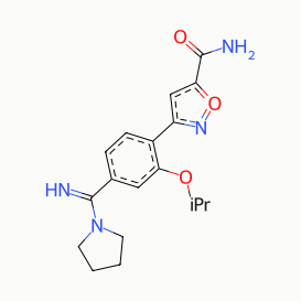 CC(C)Oc1cc(C(=N)N2CCCC2)ccc1-c1cc(C(N)=O)on1